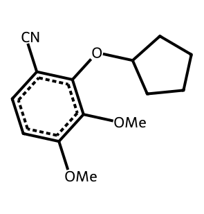 COc1ccc(C#N)c(OC2CCCC2)c1OC